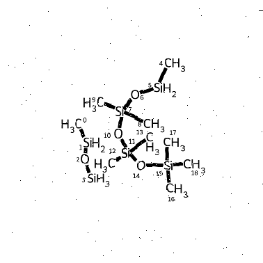 C[SiH2]O[SiH3].C[SiH2]O[Si](C)(C)O[Si](C)(C)O[Si](C)(C)C